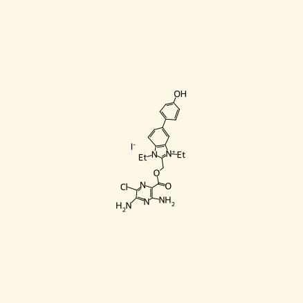 CCn1c(COC(=O)c2nc(Cl)c(N)nc2N)[n+](CC)c2cc(-c3ccc(O)cc3)ccc21.[I-]